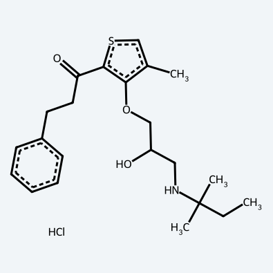 CCC(C)(C)NCC(O)COc1c(C)csc1C(=O)CCc1ccccc1.Cl